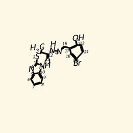 CC(Sc1nc2ccccc2[nH]1)C(=O)NN=Cc1cc(Br)ccc1O